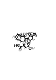 C[C@]12CCCCC1CC[C@@H]1[C@@H]2CC[C@]2(C)C(=O)CC[C@@H]12.O=C(O)/C=C(\O)C(=O)O